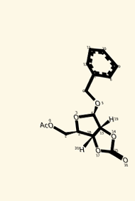 CC(=O)OC[C@H]1O[C@@H](OCc2ccccc2)[C@@H]2OC(=O)O[C@@H]21